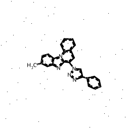 Cc1ccc2c(c1)nc1c(-n3cc(-c4ccccc4)nn3)cc3ccccc3n12